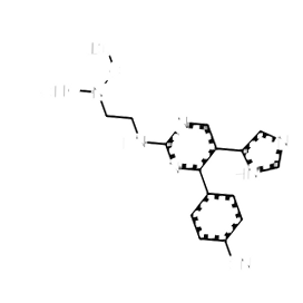 CC(C)(C)ON(C=O)CCNc1ncc(-c2cnc[nH]2)c(-c2ccc(C#N)cc2)n1